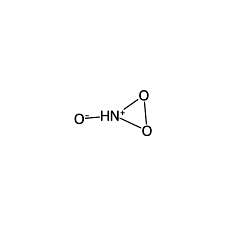 [O-][NH+]1OO1